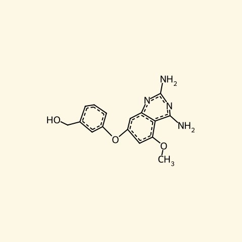 COc1cc(Oc2cccc(CO)c2)cc2nc(N)nc(N)c12